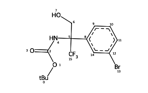 CC(C)(C)OC(=O)NC(CO)(c1cccc(Br)c1)C(F)(F)F